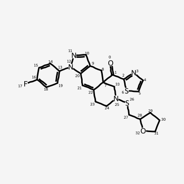 O=C(c1nccs1)C12Cc3cnn(-c4ccc(F)cc4)c3C=C1CCN(SCC1CCCO1)C2